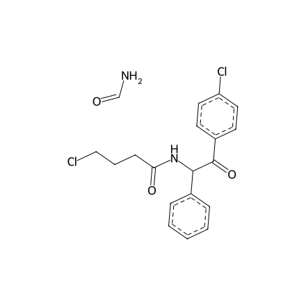 NC=O.O=C(CCCCl)NC(C(=O)c1ccc(Cl)cc1)c1ccccc1